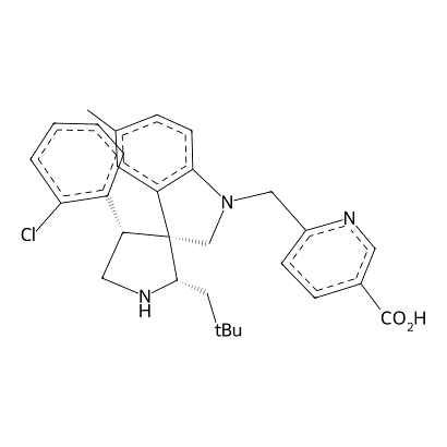 Cc1ccc2c(c1)[C@@]1(CN2Cc2ccc(C(=O)O)cn2)[C@H](CC(C)(C)C)NC[C@@H]1c1ccccc1Cl